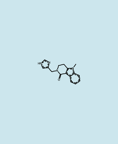 Cn1c2c(c3ccccc31)C(=O)N(Cc1c[nH]cn1)CC2